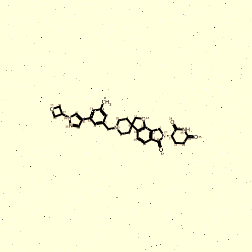 Cc1cc(CN2CCC3(CC2)COc2c3ccc3c2CN([C@H]2CCC(=O)NC2=O)C3=O)cc(-c2cnn(C3COC3)c2)c1